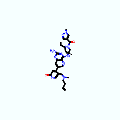 C=CCCN(C)Cc1c[nH]c(=O)cc1-c1cnc2c(N[C@](C)(CCCC)CNC(=O)c3cnn(C)c3)nc(N)nc2c1